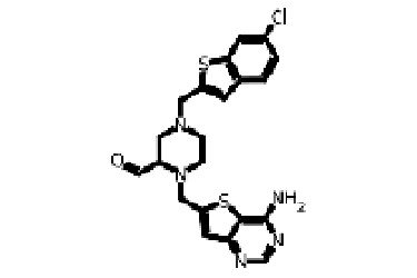 Nc1ncnc2cc(CN3CCN(Cc4cc5ccc(Cl)cc5s4)CC3C=O)sc12